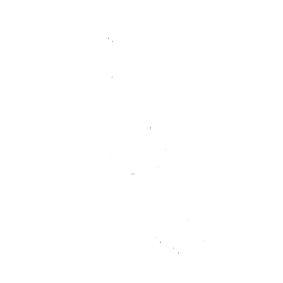 CC(C)NCC(O)COc1ccc(CCc2cc[nH]n2)cc1